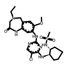 CCN1CC(=O)Nc2cc(Nc3ncc(Cl)c(N[C@@H]4CCCC[C@H]4NS(C)(=O)=O)n3)c(OC)cc2C1